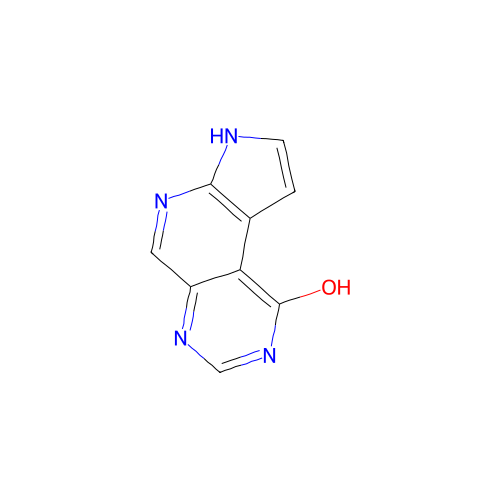 Oc1ncnc2cnc3[nH]ccc3c12